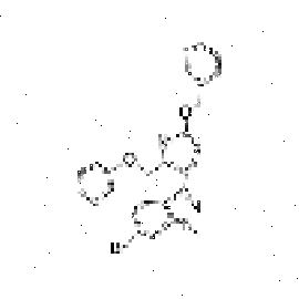 Cn1nc(-c2ccc(OCc3ccccc3)nc2COc2ccccc2)c2ccc(Br)cc21